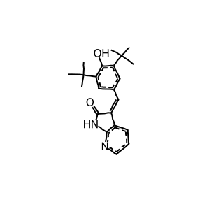 CC(C)(C)c1cc(C=C2C(=O)Nc3ncccc32)cc(C(C)(C)C)c1O